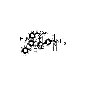 CCOC(=O)Cc1ccc(N)cc1.N=C(N)Nc1ccc(C(=O)N[C@@H](Cc2cccc(Oc3ccccc3)c2)C(=O)O)cc1